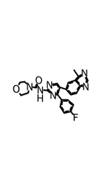 Cc1ncnc2ccc(-c3cnc(NC(=O)N4CCOCC4)nc3-c3ccc(F)cc3)cc12